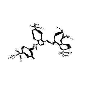 COc1cc(N=Nc2ccc(N=Nc3ccc(S(=O)(=O)O)cc3C)c3ccc(S(=O)(=O)O)cc23)c2cc(S(=O)(=O)O)ccc2c1N